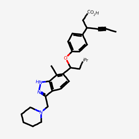 CC#CC(CC(=O)O)c1ccc(OC(CC(C)C)c2ccc3c(CN4CCCCC4)n[nH]c3c2C)cc1